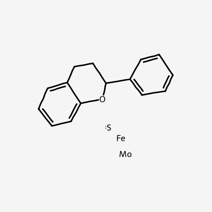 [Fe].[Mo].[S].c1ccc(C2CCc3ccccc3O2)cc1